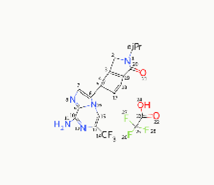 CC(C)N1Cc2cc(-c3cnc4c(N)nc(C(F)(F)F)cn34)ccc2C1=O.O=C(O)C(F)(F)F